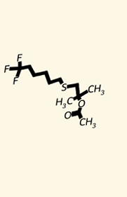 CC(=O)OC(C)(C)CSCCCCCC(F)(F)F